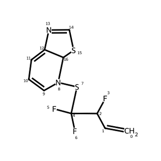 C=CC(F)C(F)(F)SN1C=CC=C2N=CSC21